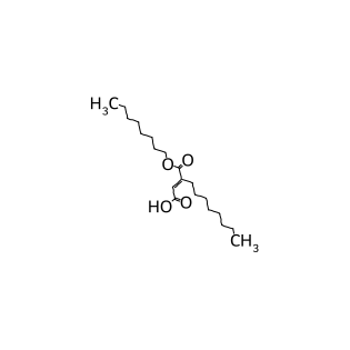 CCCCCCCCOC(=O)C(=CC(=O)O)CCCCCCCC